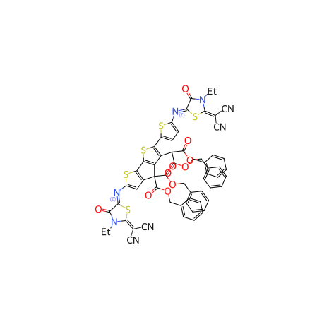 CCN1C(=O)/C(=N/c2cc3c(s2)-c2sc4c(c2C3(C(=O)OCc2ccccc2)C(=O)OCc2ccccc2)C(C(=O)OCc2ccccc2)(C(=O)OCc2ccccc2)c2cc(/N=C3\SC(=C(C#N)C#N)N(CC)C3=O)sc2-4)SC1=C(C#N)C#N